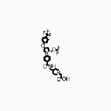 O=C(O)CN1CCC(CNC(=O)c2ccc(N3C[C@@H](Oc4ccc(C(F)(F)F)cc4)C[C@H]3COC(F)F)cc2)CC1